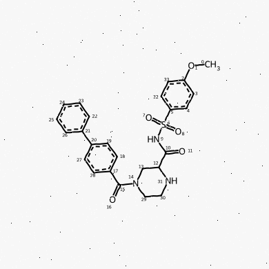 COc1ccc(S(=O)(=O)NC(=O)C2CN(C(=O)c3ccc(-c4ccccc4)cc3)CCN2)cc1